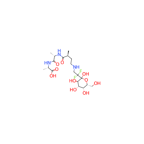 C[C@H](NC(=O)[C@H](C)NC(=O)[C@@H](C)CCNCC(F)(F)C1(O)O[C@H](CO)[C@H](O)[C@H](O)[C@H]1O)C(=O)O